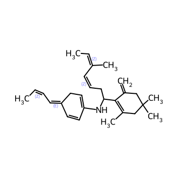 C=C1CC(C)(C)CC(C)=C1C(C/C=C\C(C)=C/C)NC1=CC/C(=C\C=C/C)C=C1